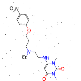 CCN(CCCOc1ccc([N+](=O)[O-])cc1)CCNc1cc(=O)n(C)c(=O)n1C